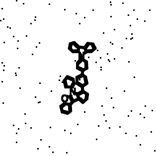 c1ccc(-n2c3oc4ccccc4c3c3cccc(-c4ccc(-c5ccc(-n6c7ccccc7c7ccccc76)cc5)cc4)c32)cc1